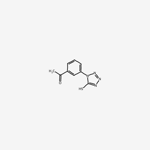 CC(=O)c1cccc(-n2nnnc2S)c1